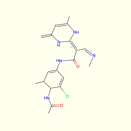 C=C1C=C(C)N/C(=C(\C=N/C)C(=O)NC2=CC(C)C(NC(C)=O)C(Cl)=C2)N1